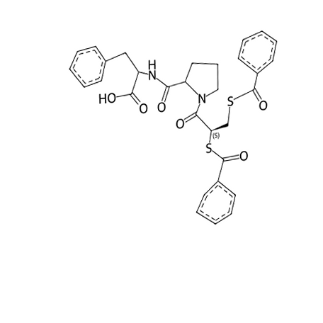 O=C(SC[C@@H](SC(=O)c1ccccc1)C(=O)N1CCCC1C(=O)NC(Cc1ccccc1)C(=O)O)c1ccccc1